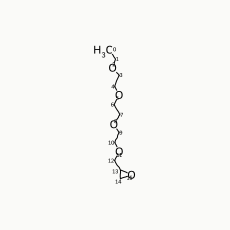 CCOCCOCCOCCOCC1CO1